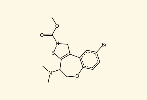 COC(=O)N1CC2=C(S1)C(N(C)C)COc1ccc(Br)cc12